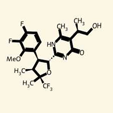 COc1c([C@H]2[C@H](c3nc(=O)c([C@@H](C)CO)c(C)[nH]3)O[C@@](C)(C(F)(F)F)[C@H]2C)ccc(F)c1F